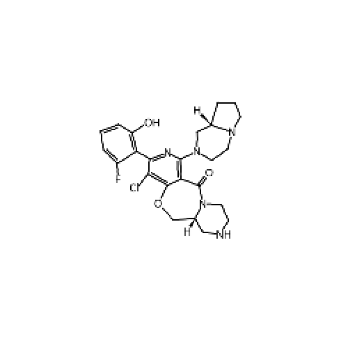 O=C1c2c(N3CCN4CCC[C@H]4C3)nc(-c3c(O)cccc3F)c(Cl)c2OC[C@H]2CNCCN12